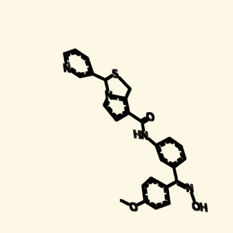 COc1ccc(C(=NO)c2cccc(NC(=O)c3ccn4c3CSC4c3cccnc3)c2)cc1